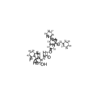 B=C(O)[C@H](CNC(=O)CO[C@@H]1C[C@@H](CNc2ccccn2)N(C(=O)OCc2ccccc2)C1)NC(=O)c1c(F)cccc1F